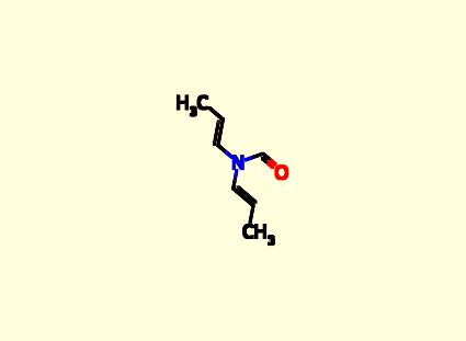 CC=CN(C=O)C=CC